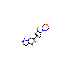 O=c1[nH]c(-c2ccc(N3CCOCC3)c(Br)c2)cc2ncccc12